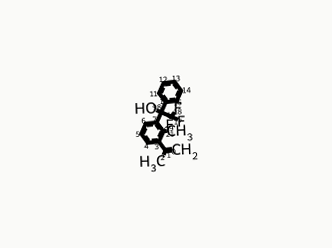 C=C(C)c1cccc(C(O)(c2ccccc2)C(F)(F)F)c1C